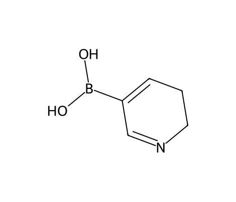 OB(O)C1=CCCN=C1